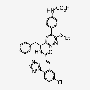 CCSc1nnc(C(Cc2ccccc2)NC(=O)C=Cc2cc(Cl)ccc2-n2cnnn2)cc1-c1ccc(NC(=O)O)cc1